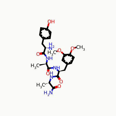 COc1ccc(C[C@H](NC(=O)[C@@H](C)NC(=O)[C@@H](N)Cc2ccc(O)cc2)C(=O)N[C@@H](C)C(N)=O)cc1OC